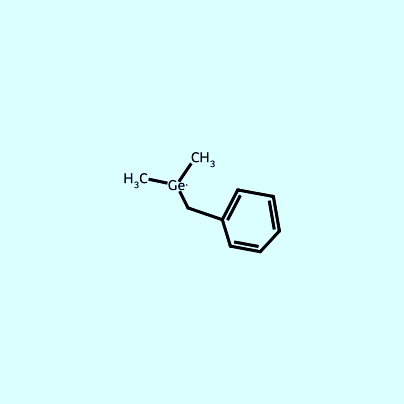 [CH3][Ge]([CH3])[CH2]c1ccccc1